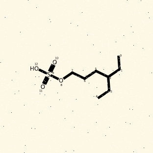 CCC(CC)CCCOS(=O)(=O)O